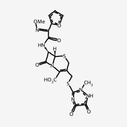 CON=C(C(=O)N[C@@H]1C(=O)N2C(C(=O)O)=C(CSc3nc(=O)c(=O)[nH]n3C)CS[C@@H]12)c1ccco1